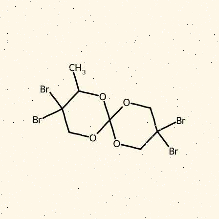 CC1OC2(OCC(Br)(Br)CO2)OCC1(Br)Br